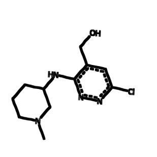 CN1CCCC(Nc2nnc(Cl)cc2CO)C1